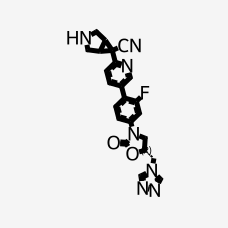 N#CC1(c2ccc(-c3ccc(N4C[C@H](Cn5cnnc5)OC4=O)cc3F)cn2)C2CNCC21